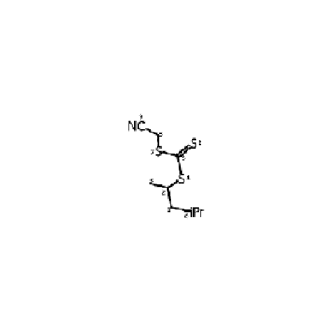 CC(C)CC(C)SC(=S)SCC#N